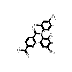 NC(=O)c1ccc(C(=O)N(c2ccc(N)cc2Cl)c2ccc(N)cc2Cl)cc1